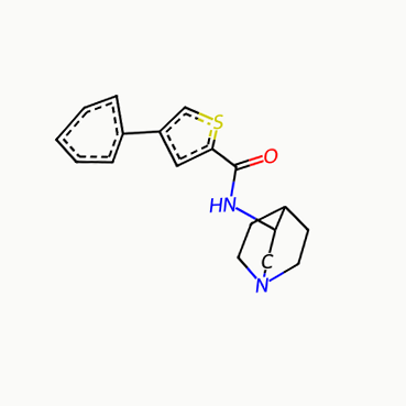 O=C(NC1CN2CCC1CC2)c1cc(-c2ccccc2)cs1